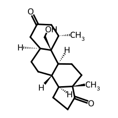 C[C@H]1CC(=O)C[C@@H]2CC[C@@H]3[C@H](CC[C@]4(C)C(=O)CC[C@@H]34)[C@]21CO